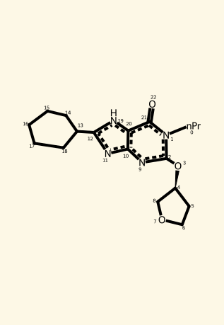 CCCn1c(O[C@H]2CCOC2)nc2nc(C3CCCCC3)[nH]c2c1=O